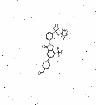 Cn1cnnc1CC1(c2cccc(N3Cc4c(cc(N5CCC(C=O)CC5)cc4C(F)(F)F)C3=O)c2)COC1